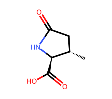 C[C@H]1CC(=O)N[C@@H]1C(=O)O